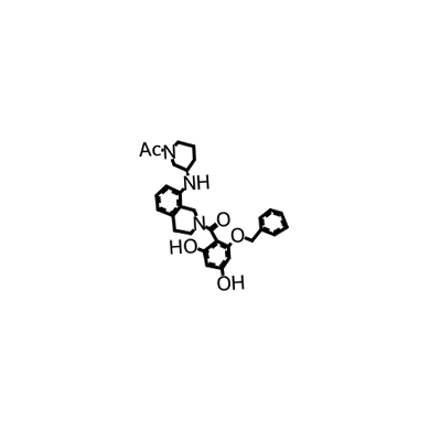 CC(=O)N1CCC[C@@H](Nc2cccc3c2CN(C(=O)c2c(O)cc(O)cc2OCc2ccccc2)CC3)C1